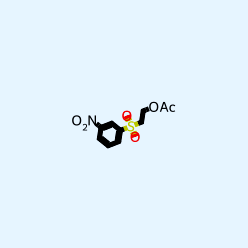 CC(=O)OCCS(=O)(=O)c1cccc([N+](=O)[O-])c1